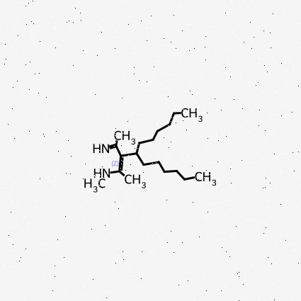 CCCCCCC(CCCCCC)/C(C(C)=N)=C(\C)NC